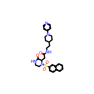 O=C(CC1C(=O)NCCN1S(=O)(=O)c1ccc2ccccc2c1)NCCC1CCN(c2ccncc2)CC1